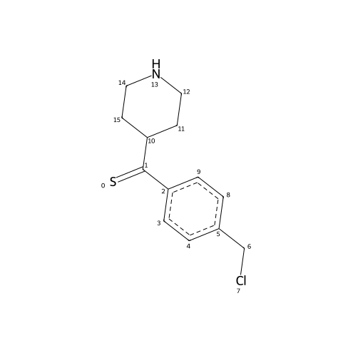 S=C(c1ccc(CCl)cc1)C1CCNCC1